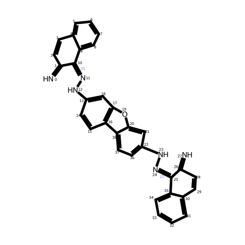 N=C1C=Cc2ccccc2/C1=N/Nc1ccc2c(c1)oc1cc(N/N=C3\C(=N)C=Cc4ccccc43)ccc12